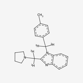 [2H]C([2H])(c1nc2ccccc2n1C([2H])([2H])c1ccc(C)cc1)N1CCCC1